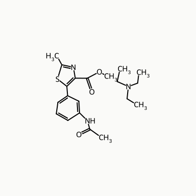 CCN(CC)CC.COC(=O)c1nc(C)sc1-c1cccc(NC(C)=O)c1